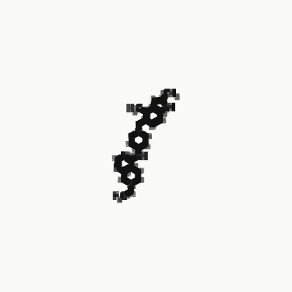 Cc1cc2c(C)c(CN3CCC(Nc4ncnc5c4CCN(CC(F)(F)F)C5)CC3)ccc2[nH]1